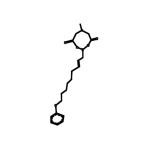 CN1CC(=O)OB(CC=CCCCCCCOc2ccccc2)OC(=O)C1